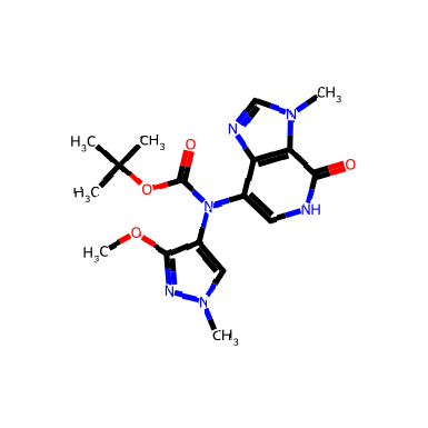 COc1nn(C)cc1N(C(=O)OC(C)(C)C)c1c[nH]c(=O)c2c1ncn2C